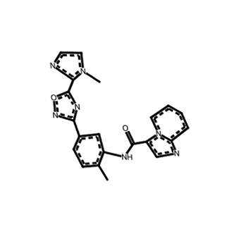 Cc1ccc(-c2noc(-c3nccn3C)n2)cc1NC(=O)c1cnc2ccccn12